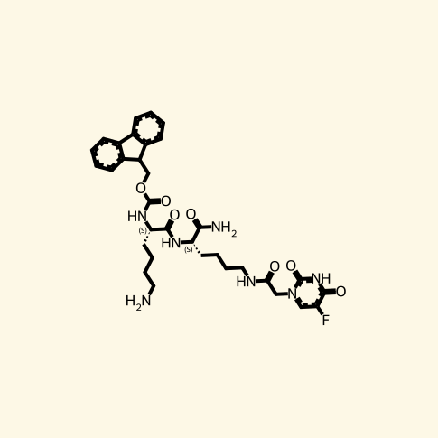 NCCCC[C@H](NC(=O)OCC1c2ccccc2-c2ccccc21)C(=O)N[C@@H](CCCCNC(=O)Cn1cc(F)c(=O)[nH]c1=O)C(N)=O